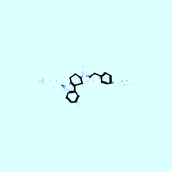 COc1ccc(CC(=O)N[C@@H]2CCc3c(c4cc(F)ccc4n3CC(=O)O)C2)cc1